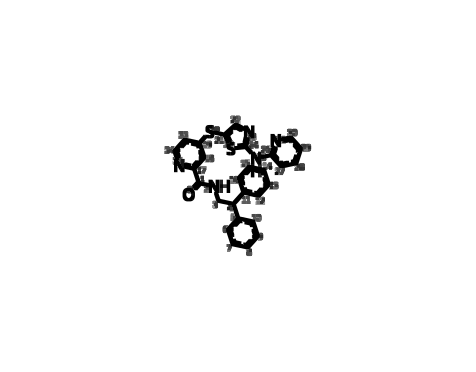 O=C(NCC(c1ccccc1)c1ccccc1)c1cc(Sc2cnc(Nc3ccccn3)s2)ccn1